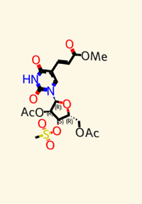 COC(=O)C=Cc1cn([C@@H]2O[C@H](COC(C)=O)[C@H](OS(C)(=O)=O)[C@H]2OC(C)=O)c(=O)[nH]c1=O